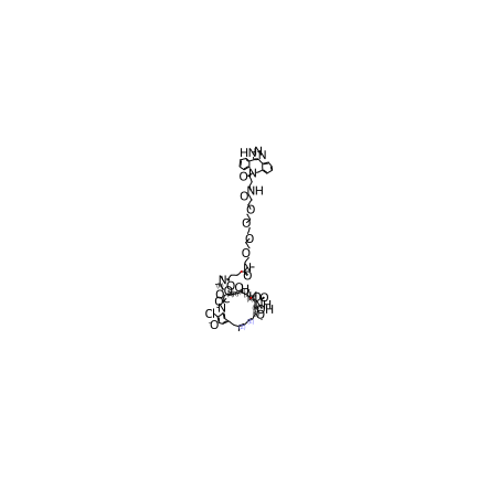 COc1cc2cc(c1Cl)N(C)C(=O)C[C@@H](OC(=O)[C@@H](C)N(C)C(=O)CCCC(=O)N(C)CCOCCOCCOCCOCCC(=O)NCCC(=O)N1Cc3ccccc3-c3nn[nH]c3-c3ccccc31)[C@@]1(C)O[C@@H]1[C@@H](C)[C@H]1C[C@](O)(NC(=O)O1)[C@@H](OC)/C=C/C=C(/C)C2